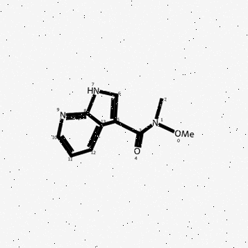 CON(C)C(=O)c1c[nH]c2ncccc12